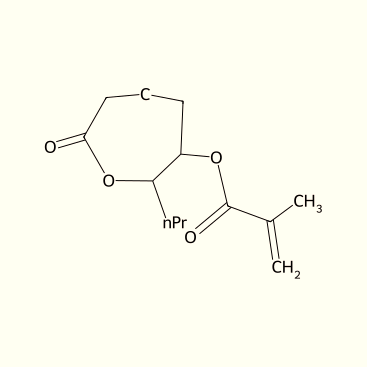 C=C(C)C(=O)OC1CCCC(=O)OC1CCC